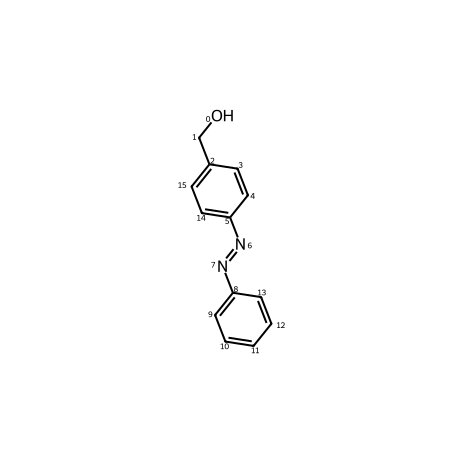 OCc1ccc(/N=N/c2ccccc2)cc1